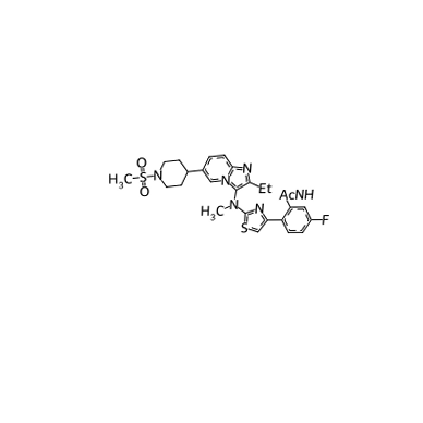 CCc1nc2ccc(C3CCN(S(C)(=O)=O)CC3)cn2c1N(C)c1nc(-c2ccc(F)cc2NC(C)=O)cs1